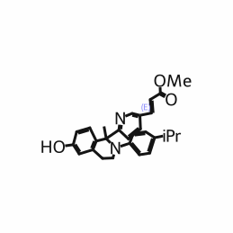 COC(=O)/C=C/c1ccc(C2(C)c3ccc(O)cc3CCN2c2ccc(C(C)C)cc2)nc1